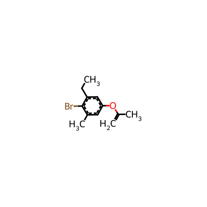 C=C(C)Oc1cc(C)c(Br)c(CC)c1